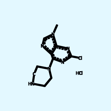 Cl.Cn1cnc2c(N3CCNCC3)nc(Cl)nc21